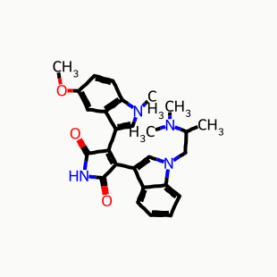 COc1ccc2c(c1)c(C1=C(c3cn(CC(C)N(C)C)c4ccccc34)C(=O)NC1=O)cn2C